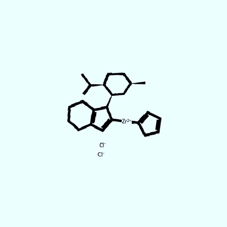 CC(C)[C@H]1CC[C@@H](C)C[C@H]1C1[C]([Zr+2][C]2=CC=CC2)=CC2=C1CCCC2.[Cl-].[Cl-]